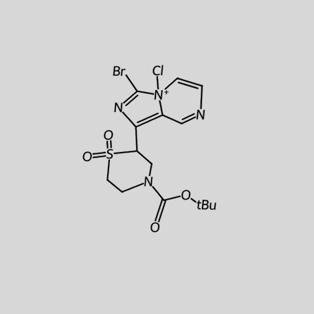 CC(C)(C)OC(=O)N1CCS(=O)(=O)C(C2=C3C=NC=C[N+]3(Cl)C(Br)=N2)C1